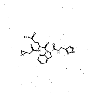 O=C(O)CCC(NC(=O)CC1CC1)C(=O)N1c2ncccc2C[C@H]1C(=O)NCc1nn[nH]n1